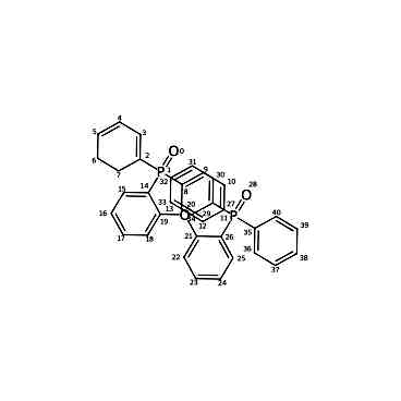 O=P(C1=CC=CCC1)(c1ccccc1)c1ccccc1Oc1ccccc1P(=O)(c1ccccc1)c1ccccc1